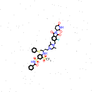 CC1CN(CC[C@H](CSc2ccccc2)Nc2ccc(S(=O)(=O)NC(=O)c3ccccc3)cc2S(=O)(=O)C(F)(F)F)CC(C)N1Cc1ccc2c(c1F)C(=O)N(C1CCC(=O)NC1=O)C2=O